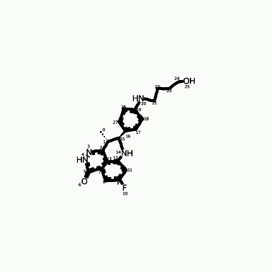 C[C@H]1c2n[nH]c(=O)c3cc(F)cc(c23)N[C@@H]1c1ccc(NCCCCO)cc1